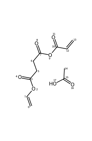 C=COC(=O)CCC(=O)OC(=O)C=C.CC(=O)O